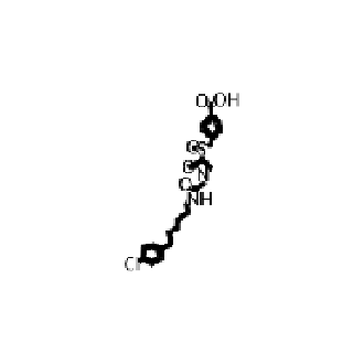 O=C(CN1CC([S+]([O-])Cc2ccc(C(=O)O)cc2)C1=O)NCCCCCCc1ccc(Cl)cc1